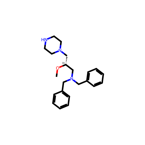 CO[C@H](CN1CCNCC1)CN(Cc1ccccc1)Cc1ccccc1